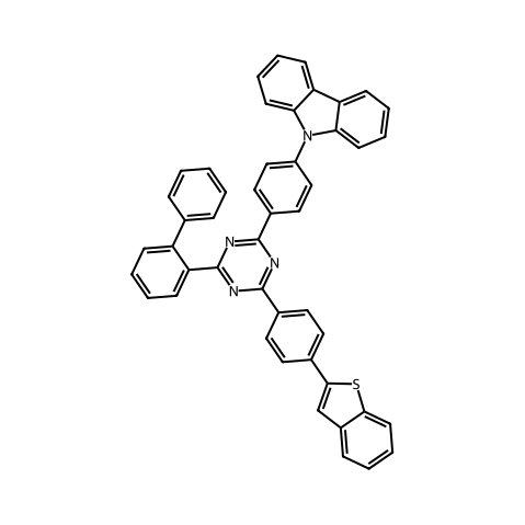 c1ccc(-c2ccccc2-c2nc(-c3ccc(-c4cc5ccccc5s4)cc3)nc(-c3ccc(-n4c5ccccc5c5ccccc54)cc3)n2)cc1